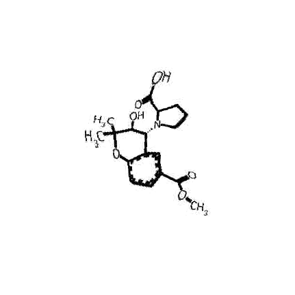 COC(=O)c1ccc2c(c1)[C@@H](N1CCCC1C(=O)O)[C@H](O)C(C)(C)O2